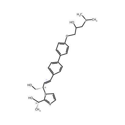 C[C@H](O)c1nccn1[C@@H](/C=C/c1ccc(-c2ccc(OCC(O)CN(C)C)cc2)cc1)CO